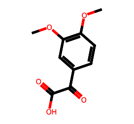 COc1ccc(C(=O)C(=O)O)cc1OC